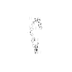 C[C@H]1CN(Cc2ccc3c(c2)n(C2CC2)c(=O)n3[C@@H]2CCC(=O)NC2=O)CCN1CC1CCN(C(=O)c2cc(F)c(C3CCN(Cc4cc5c(-n6ccc7c(c6=O)CCN7)ccnc5n4C)CC3)c(F)c2)CC1